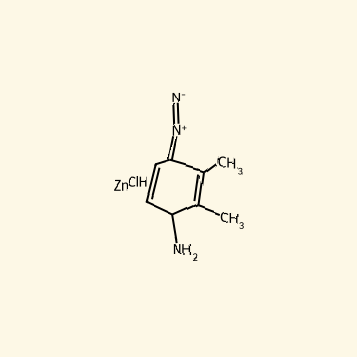 CC1=C(C)C(N)C=CC1=[N+]=[N-].Cl.[Zn]